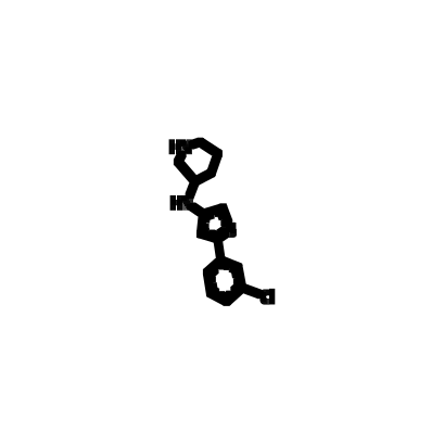 Clc1cccc(-c2cc(NC3CCCNC3)cs2)c1